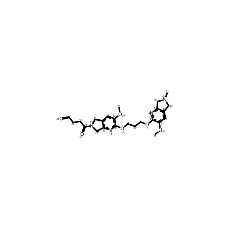 COc1cc2c(nc1OCCCOc1nc3c(cc1OC)CN(C(=O)CCC=O)C3)CN(C)C2